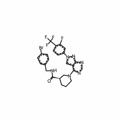 O=C(NCc1ccc(Br)cc1)[C@@H]1CCCN(c2ncnc3nn(-c4ccc(C(F)(F)F)c(F)c4)cc23)C1